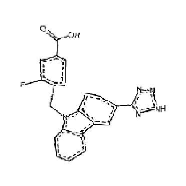 O=C(O)c1ccc(Cn2c3ccccc3c3cc(-c4nn[nH]n4)ccc32)c(F)c1